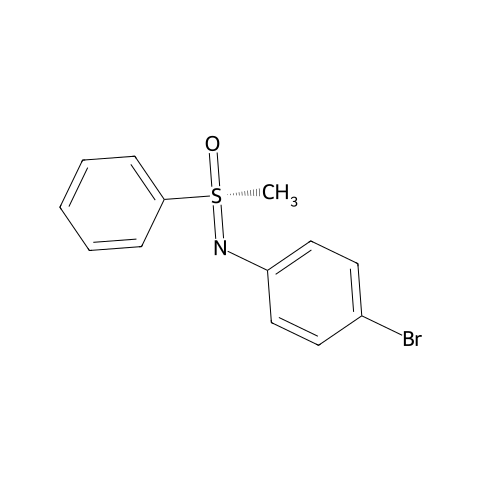 C[S@](=O)(=Nc1ccc(Br)cc1)c1ccccc1